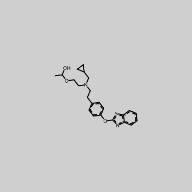 CC(O)OCCN(CCc1ccc(Oc2nc3ccccc3s2)cc1)CC1CC1